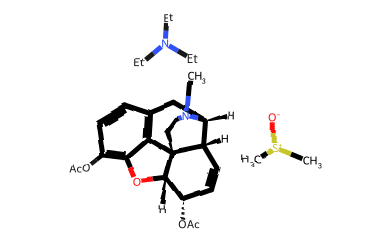 CC(=O)Oc1ccc2c3c1O[C@H]1[C@@H](OC(C)=O)C=C[C@H]4[C@@H](C2)N(C)CC[C@@]341.CCN(CC)CC.C[S+](C)[O-]